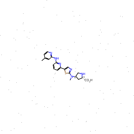 Cc1ccnc(Nc2cccc(-c3cnc(N(C)[C@H]4CN[C@H](C(=O)O)C4)s3)n2)c1